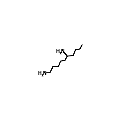 CCCCC(N)CCCCCN